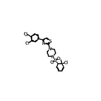 CC1(Cl)C=CC=CC1S(=O)(=O)N1CCN(c2nc(-c3ccc(Cl)c(Cl)c3)cs2)CC1